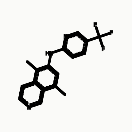 Cc1cc(Nc2ccc(C(F)(F)F)cn2)c(C)c2ccncc12